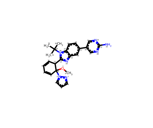 COC1(n2cccn2)C=CC=CC1c1nc2cc(-c3cnc(N)nc3)ccc2n1C(C)(C)C